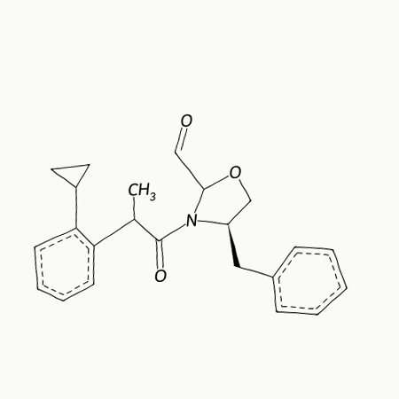 CC(C(=O)N1C(C=O)OC[C@H]1Cc1ccccc1)c1ccccc1C1CC1